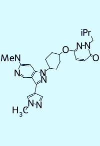 CNc1cc2c(cn1)c(-c1cnn(C)c1)nn2C1CCC(Oc2ccc(=O)n(CC(C)C)n2)CC1